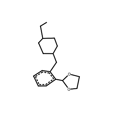 CCC1CCC(Cc2ccccc2C2OCCO2)CC1